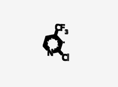 FC(F)(F)c1[c]c(Cl)ncc1